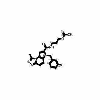 Cc1nnc2ccc3c(cc(C(=O)NCCCOC(=O)C(F)(F)F)n3Cc3cccc(Cl)c3)n12